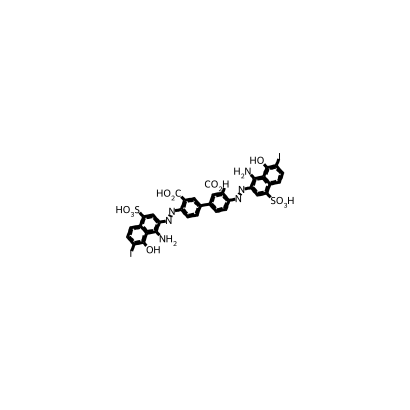 Nc1c(/N=N/c2ccc(-c3ccc(/N=N/c4cc(S(=O)(=O)O)c5ccc(I)c(O)c5c4N)c(C(=O)O)c3)cc2C(=O)O)cc(S(=O)(=O)O)c2ccc(I)c(O)c12